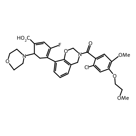 COCCOc1cc(Cl)c(C(=O)N2COc3c(cccc3C3=C(F)C=C(C(=O)O)C(N4CCOCC4)C3)C2)cc1OC